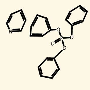 O=P(Oc1ccccc1)(Oc1ccccc1)Oc1ccccc1.c1ccncc1